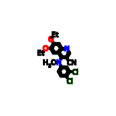 CCOc1cc2ncc(C#N)c(N(C)c3ccc(Cl)c(Cl)c3)c2cc1OCC